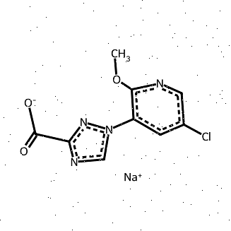 COc1ncc(Cl)cc1-n1cnc(C(=O)[O-])n1.[Na+]